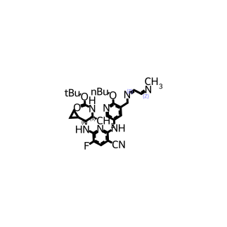 CCCCOc1ncc(Nc2nc(N[C@H](C3CC3)[C@H](C)NC(=O)OC(C)(C)C)c(F)cc2C#N)cc1C/N=C\C=N/C